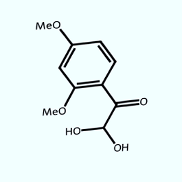 COc1ccc(C(=O)C(O)O)c(OC)c1